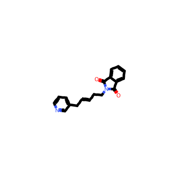 O=C1c2ccccc2C(=O)N1CC/C=C/Cc1cccnc1